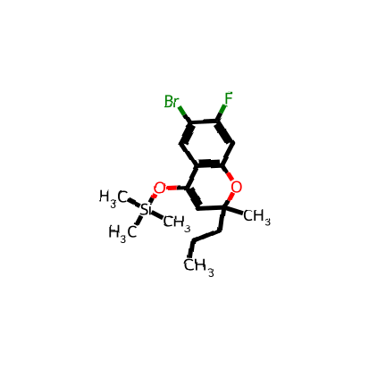 CCCC1(C)C=C(O[Si](C)(C)C)c2cc(Br)c(F)cc2O1